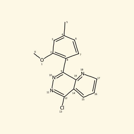 COc1cc(C)ccc1-c1nnc(Cl)c2cccnc12